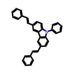 C(=Cc1ccc2c(c1)c1cc(C=Cc3ccccc3)ccc1n2-c1ccccc1)c1ccccc1